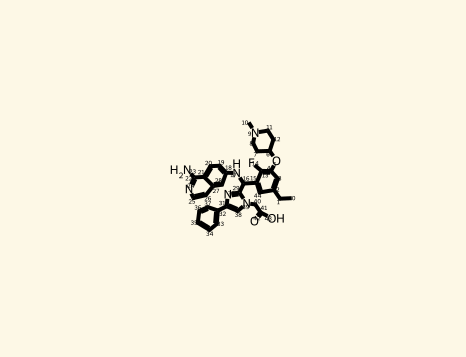 CCc1cc(OC2CCN(C)CC2)c(F)c(C(Nc2ccc3c(N)nccc3c2)c2nc(-c3ccccc3)cn2CC(=O)O)c1